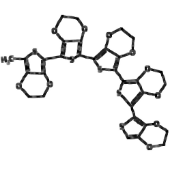 Cc1sc(-c2sc(-c3sc(-c4sc(-c5scc6c5OCCO6)c5c4OCCO5)c4c3OCCO4)c3c2OCCO3)c2c1OCCO2